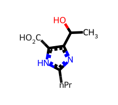 CCCc1nc(C(C)O)c(C(=O)O)[nH]1